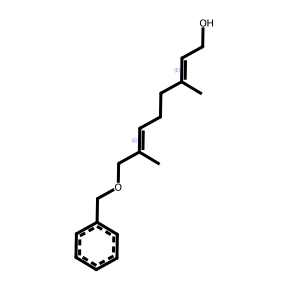 C/C(=C\CO)CC/C=C(\C)COCc1ccccc1